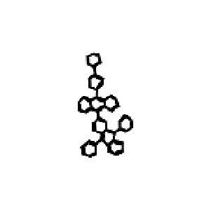 c1ccc(-c2ccc(-c3c4ccccc4c(-c4ccc5c(-c6ccccc6)c6ccccc6c(-c6ccccc6)c5c4)c4ccccc34)cc2)cc1